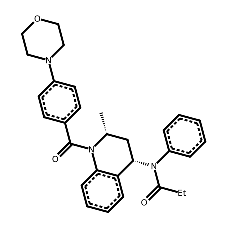 CCC(=O)N(c1ccccc1)[C@H]1C[C@@H](C)N(C(=O)c2ccc(N3CCOCC3)cc2)c2ccccc21